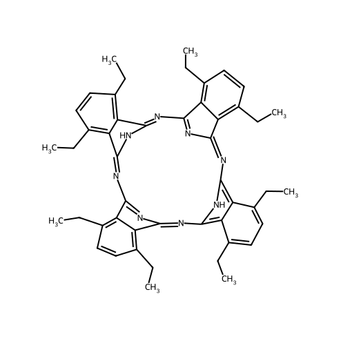 CCc1ccc(CC)c2c1-c1nc-2nc2[nH]c(nc3nc(nc4[nH]c(n1)c1c(CC)ccc(CC)c41)-c1c(CC)ccc(CC)c1-3)c1c(CC)ccc(CC)c21